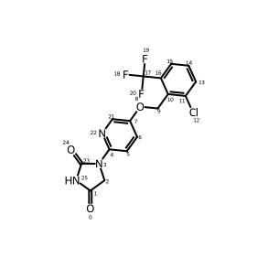 O=C1CN(c2ccc(OCc3c(Cl)cccc3C(F)(F)F)cn2)C(=O)N1